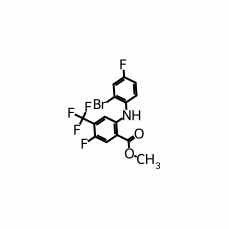 COC(=O)c1cc(F)c(C(F)(F)F)cc1Nc1ccc(F)cc1Br